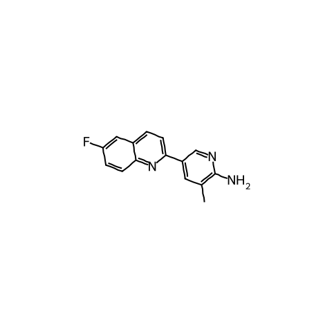 Cc1cc(-c2ccc3cc(F)ccc3n2)cnc1N